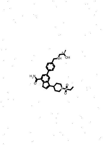 CCS(=O)(=O)N1CCC(C2=CCc3c(C(N)=O)cc(-c4ccc(CNC[C@@H](C)O)cc4)cc32)CC1